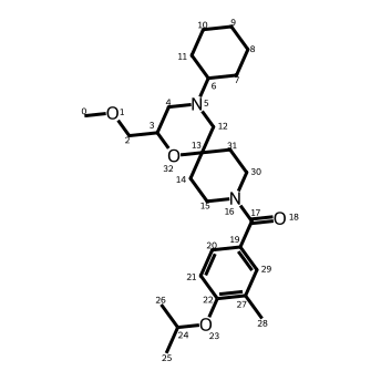 COCC1CN(C2CCCCC2)CC2(CCN(C(=O)c3ccc(OC(C)C)c(C)c3)CC2)O1